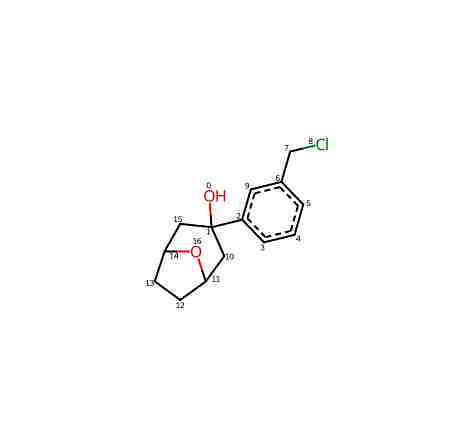 OC1(c2cccc(CCl)c2)CC2CCC(C1)O2